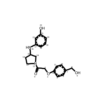 O=C(COc1ccc(CO)cc1)N1CCC(Nc2cccc(O)c2)C1